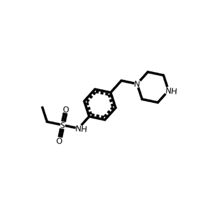 CCS(=O)(=O)Nc1ccc(CN2CCNCC2)cc1